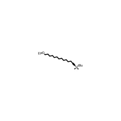 CCOCCCCCCCCCCCCC#C[Si](C)(C)C(C)(C)C